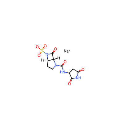 O=C1CC(NC(=O)N2CC[C@@H]3[C@@H]2C(=O)N3S(=O)(=O)[O-])C(=O)N1.[Na+]